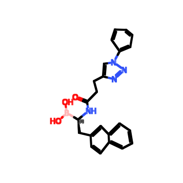 O=C(CCc1cn(-c2ccccc2)nn1)N[C@@H](Cc1ccc2ccccc2c1)B(O)O